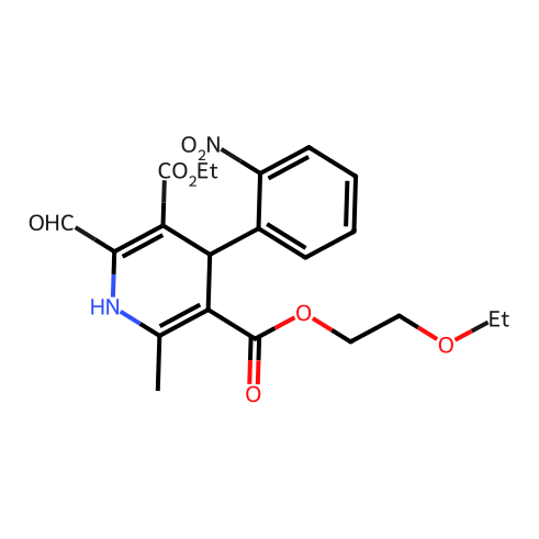 CCOCCOC(=O)C1=C(C)NC(C=O)=C(C(=O)OCC)C1c1ccccc1[N+](=O)[O-]